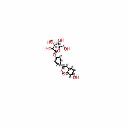 OCC1O[C@H](Oc2ccc([C@@H]3COc4cc(O)ccc4C3)cc2)C(O)[C@@H](O)[C@@H]1O